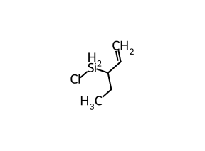 C=CC(CC)[SiH2]Cl